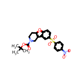 CC(C)(C)OC(=O)N1CCc2oc3ccc(S(=O)(=O)c4ccc([N+](=O)[O-])cc4)cc3c2C1